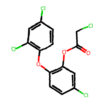 O=C(CCl)Oc1cc(Cl)ccc1Oc1ccc(Cl)cc1Cl